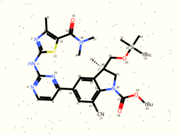 Cc1nc(Nc2nccc(-c3cc(C#N)c4c(c3)[C@@](C)(CO[Si](C)(C)C(C)(C)C)CN4C(=O)OC(C)(C)C)n2)sc1C(=O)N(C)C